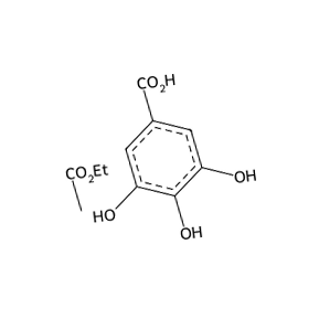 CCOC(C)=O.O=C(O)c1cc(O)c(O)c(O)c1